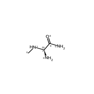 CN[C@H](N)C(N)=O